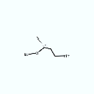 CCCCC[C@@H](C)OCC